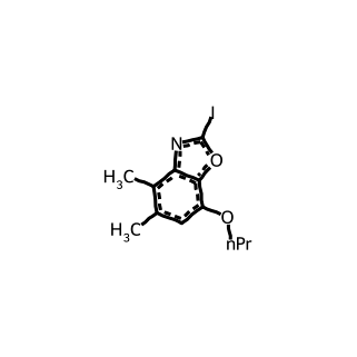 CCCOc1cc(C)c(C)c2nc(I)oc12